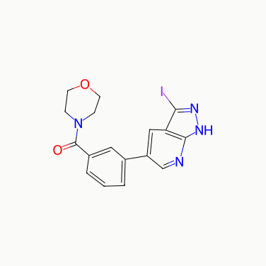 O=C(c1cccc(-c2cnc3[nH]nc(I)c3c2)c1)N1CCOCC1